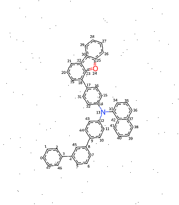 c1ccc(-c2cccc(-c3ccc(N(c4ccc(-c5cccc6c5oc5ccccc56)cc4)c4cccc5ccccc45)cc3)c2)cc1